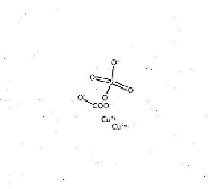 O=C([O-])[O-].O=S(=O)([O-])[O-].[Cu+2].[Cu+2]